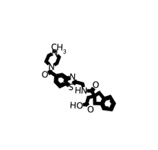 CN1CCN(C(=O)c2ccc3sc(CNC(=O)C4(CC(=O)O)Cc5ccccc5C4)nc3c2)CC1